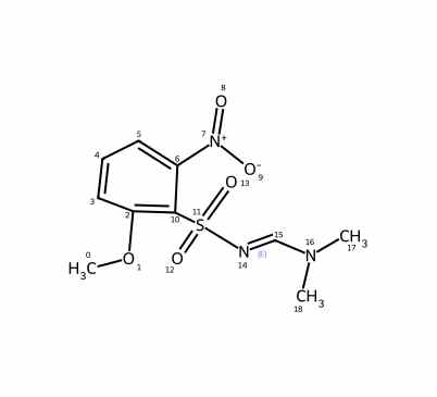 COc1cccc([N+](=O)[O-])c1S(=O)(=O)/N=C/N(C)C